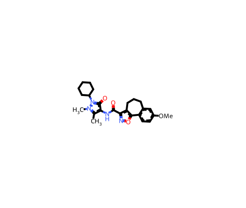 COc1ccc2c(c1)CCCc1c(C(=O)Nc3c(C)n(C)n(C4CCCCC4)c3=O)noc1-2